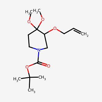 C=CCOC1CN(C(=O)OC(C)(C)C)CCC1(OC)OC